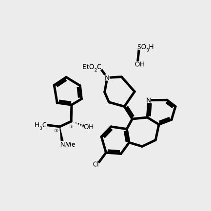 CCOC(=O)N1CCC(=C2c3ccc(Cl)cc3CCc3cccnc32)CC1.CN[C@@H](C)[C@@H](O)c1ccccc1.O=S(=O)(O)O